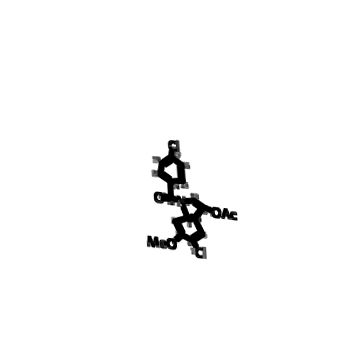 COc1cc2c(cc1Cl)c(OC(C)=O)cn2C(=O)c1ccc(Cl)cc1